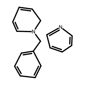 C1=CCN(Cc2ccccc2)C=C1.c1ccncc1